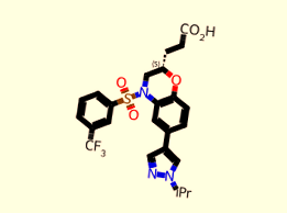 CC(C)n1cc(-c2ccc3c(c2)N(S(=O)(=O)c2cccc(C(F)(F)F)c2)C[C@H](CCC(=O)O)O3)cn1